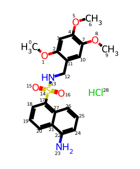 COc1cc(OC)c(OC)cc1CNS(=O)(=O)c1cccc2c(N)cccc12.Cl